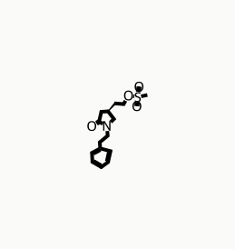 CS(=O)(=O)OCC[C@@H]1CC(=O)N(CCc2ccccc2)C1